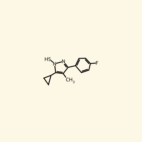 Cc1c(-c2ccc(F)cc2)nn(S)c1C1CC1